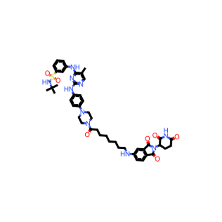 Cc1cnc(Nc2ccc(N3CCN(C(=O)CCCCCCCNc4ccc5c(c4)C(=O)N(C4CCC(=O)NC4=O)C5=O)CC3)cc2)nc1Nc1cccc(S(=O)(=O)NC(C)(C)C)c1